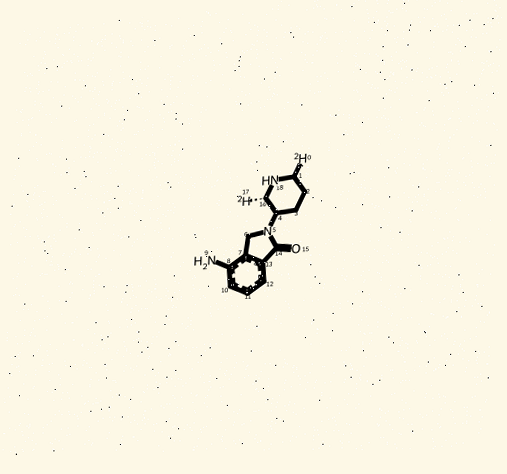 [2H]C1CCC(N2Cc3c(N)cccc3C2=O)[C@H]([2H])N1